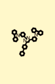 c1ccc(-c2ccc(-c3cc(-c4cccc(-n5c6ccccc6c6ccccc65)c4)nc(-c4cccc(-n5c6ccccc6c6ccccc65)c4)n3)cc2)cc1